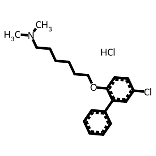 CN(C)CCCCCCOc1ccc(Cl)cc1-c1ccccc1.Cl